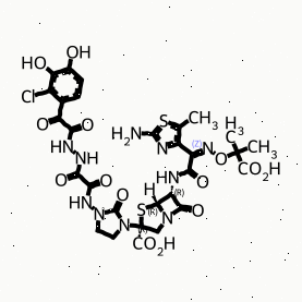 Cc1sc(N)nc1/C(=N/OC(C)(C)C(=O)O)C(=O)N[C@@H]1C(=O)N2C[C@@](C(=O)O)(N3CCN(NC(=O)C(=O)NNC(=O)C(=O)c4ccc(O)c(O)c4Cl)C3=O)S[C@H]12